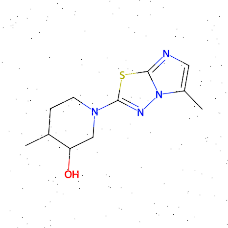 Cc1cnc2sc(N3CCC(C)C(O)C3)nn12